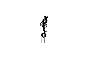 CC(C)N1CCN(S(=O)(=O)CCC[CH]C2CCNCC2)CC1